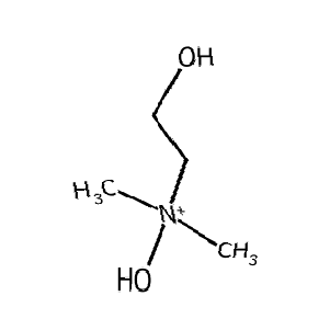 C[N+](C)(O)CCO